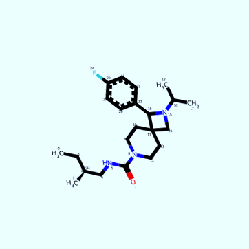 CC[C@H](C)CNC(=O)N1CCC2(CC1)CN(C(C)C)C2c1ccc(F)cc1